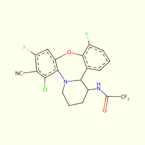 N#Cc1c(F)cc2c(c1Cl)N1CCCC(NC(=O)C(F)(F)F)C1c1cccc(F)c1O2